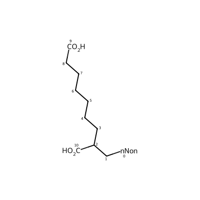 CCCCCCCCCCC(CCCCCCC(=O)O)C(=O)O